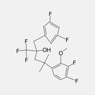 COc1c(C(C)(C)CC(O)(Cc2cc(F)cc(F)c2)C(F)(F)F)ccc(F)c1F